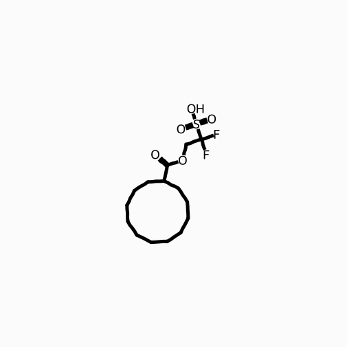 O=C(OCC(F)(F)S(=O)(=O)O)C1CCCCCCCCCCC1